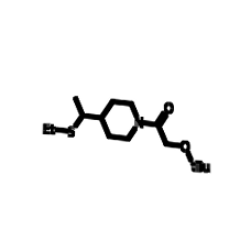 CCSC(C)C1CCN(C(=O)COC(C)(C)C)CC1